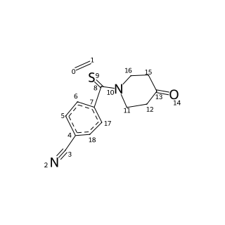 C=C.N#Cc1ccc(C(=S)N2CCC(=O)CC2)cc1